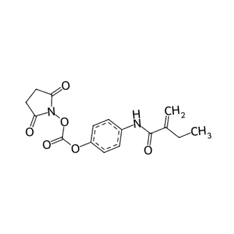 C=C(CC)C(=O)Nc1ccc(OC(=O)ON2C(=O)CCC2=O)cc1